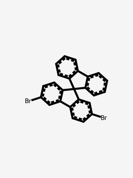 Brc1ccc2c(c1)-c1ccc(Br)cc1C21c2ccccc2-c2ccccc21